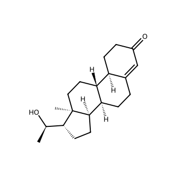 C[C@@H](O)[C@H]1CC[C@@H]2[C@@H]3CCC4=CC(=O)CC[C@@H]4[C@H]3CC[C@@]21C